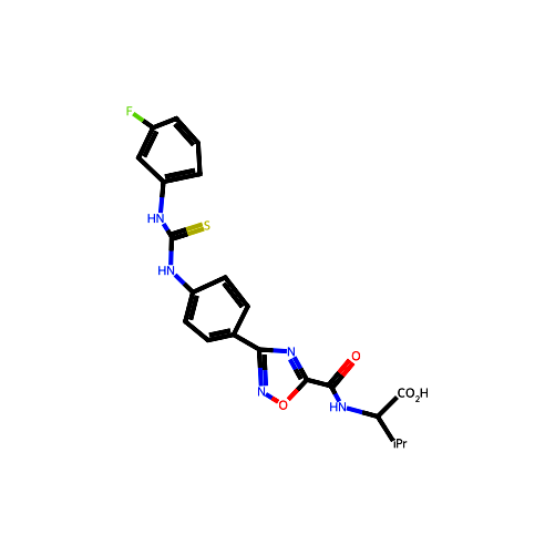 CC(C)C(NC(=O)c1nc(-c2ccc(NC(=S)Nc3cccc(F)c3)cc2)no1)C(=O)O